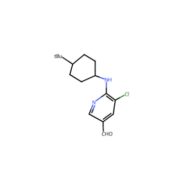 CC(C)(C)C1CCC(Nc2ncc(C=O)cc2Cl)CC1